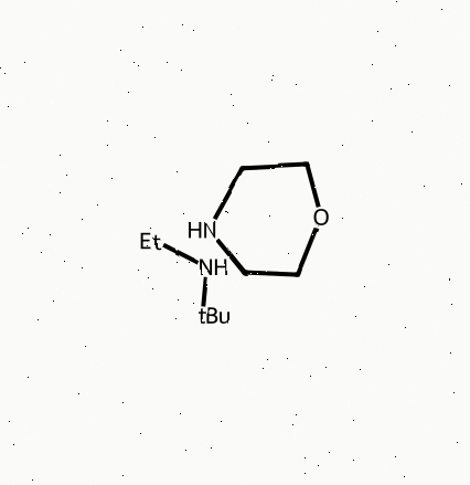 C1COCCN1.CCNC(C)(C)C